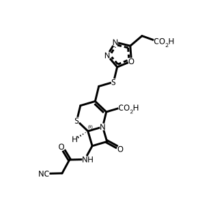 N#CCC(=O)NC1C(=O)N2C(C(=O)O)=C(CSc3nnc(CC(=O)O)o3)CS[C@H]12